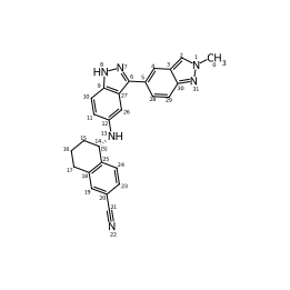 Cn1cc2cc(-c3n[nH]c4ccc(N[C@H]5CCCc6cc(C#N)ccc65)cc34)ccc2n1